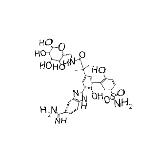 CC(C)(C(=O)NCC1OC(O)C(O)C(O)C1O)c1cc(-c2nc3cc(C(=N)N)ccc3[nH]2)c(O)c(-c2cc(S(N)(=O)=O)ccc2O)c1